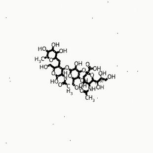 CC(=O)NC1C(O)OC(CO)C(CC2OC(C)C(O)C(O)C2O)C1OC1OC(CO)C(O)C(OC2(C(=O)O)CC(O)C(NC(C)=O)C([C@H](O)[C@H](O)CO)O2)C1O